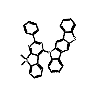 C[Si]1(C)c2ccccc2-c2c(-n3c4ccccc4c4cc5sc6ccccc6c5cc43)nc(-c3ccccc3)nc21